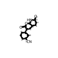 N#Cc1cccc(-c2cc3ccc(=O)[nH]c3oc2=O)c1